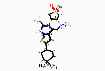 Cc1nc(CN(C)[C@@H]2CCS(=O)(=O)C2)c2cc(C3CCC(C)(C)CC3)sc2n1